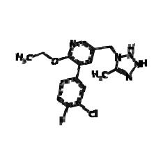 CCOc1ncc(CN2NNN=C2C)cc1-c1ccc(F)c(Cl)c1